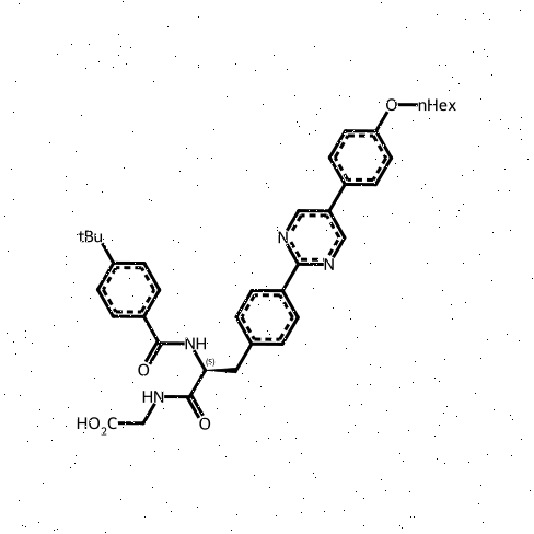 CCCCCCOc1ccc(-c2cnc(-c3ccc(C[C@H](NC(=O)c4ccc(C(C)(C)C)cc4)C(=O)NCC(=O)O)cc3)nc2)cc1